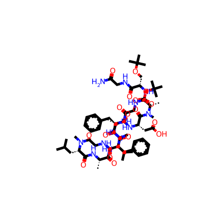 CC(C)C[C@@H](C(=O)N[C@@H](C)C(=O)N[C@H](C(=O)N[C@@H](Cc1ccccc1)C(=O)N[C@@H](CC(=O)O)C(=O)N(C)[C@@H](C)C(=O)N[C@@H](COC(C)(C)C)C(=O)NCC(N)=O)C(C)C)N(C)C(=O)CNC(=O)[C@H](Cc1ccccc1)N(C)C(=O)[C@H](C)NC(=O)CNC(=O)OC(C)(C)C